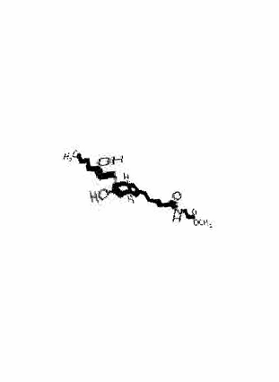 CCCCC[C@@H](O)/C=C/[C@@H]1[C@H]2CC(CCCCC(=O)NCCC(=O)OC)=C[C@H]2C[C@H]1O